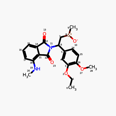 CCOc1cc(C(C[S+](C)[O-])N2C(=O)c3cccc(NC)c3C2=O)ccc1OC